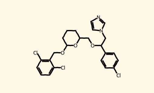 Clc1ccc(C(Cn2ccnc2)OCC2CCCC(OCc3c(Cl)cccc3Cl)O2)cc1